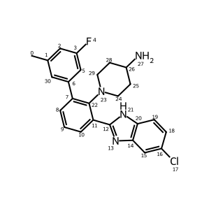 Cc1cc(F)cc(-c2cccc(-c3nc4cc(Cl)ccc4[nH]3)c2N2CCC(N)CC2)c1